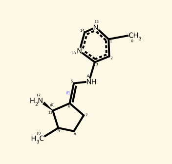 Cc1cc(N/C=C2\CCC(C)[C@H]2N)ncn1